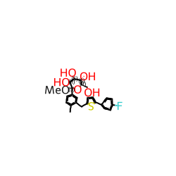 CO[C@@]1(c2ccc(C)c(Cc3ccc(-c4ccc(F)cc4)s3)c2)O[C@H](CO)[C@@H](O)[C@H](O)[C@H]1O